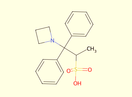 CC(C(c1ccccc1)(c1ccccc1)N1CCC1)S(=O)(=O)O